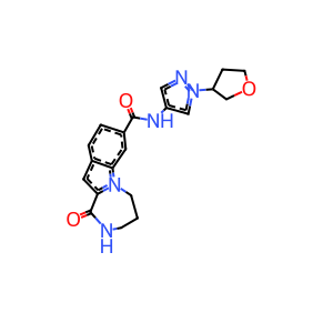 O=C(Nc1cnn(C2CCOC2)c1)c1ccc2cc3n(c2c1)CCCNC3=O